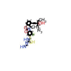 CCC(O)(C#Cc1ccccc1[C@@H](C)n1c(=O)oc2cc(SN/C(S)=N/C=N)c(F)cc21)CC